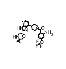 Nc1cc(OC(F)(F)F)ccc1C(=O)N1CCC(c2ccnc3[nH]c([C@H]4CNC5(CC5)CO4)nc23)CC1